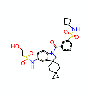 O=C(c1cccc(S(=O)(=O)NC2CCC2)c1)N1CC2(CCC3(CC3)CC2)c2cc(NS(=O)(=O)CCO)ccc21